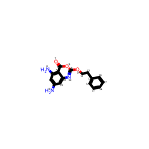 Nc1cc(N)c2c(=O)oc(OCCc3ccccc3)nc2c1